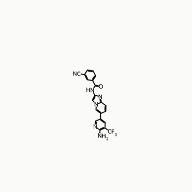 N#Cc1cccc(C(=O)Nc2cn3cc(-c4cnc(N)c(C(F)(F)F)c4)ccc3n2)c1